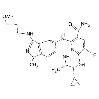 COCCCNc1nn(C)c2ccc(Nc3nc(N[C@H](C4CC4)[C@H](C)N)c(F)cc3C(N)=O)cc12